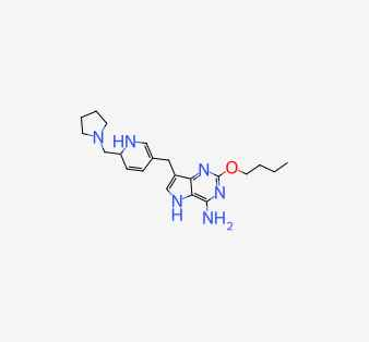 CCCCOc1nc(N)c2[nH]cc(CC3=CNC(CN4CCCC4)C=C3)c2n1